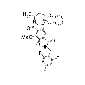 COc1c2n(cc(C(=O)NCc3c(F)cc(F)cc3F)c1=O)C1CN(C2=O)C(C)CC[C@]12Cc1ccccc1O2